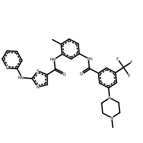 Cc1ccc(NC(=O)c2cc(N3CCN(C)CC3)cc(C(F)(F)F)c2)cc1NC(=O)c1cnc(Nc2ccccn2)s1